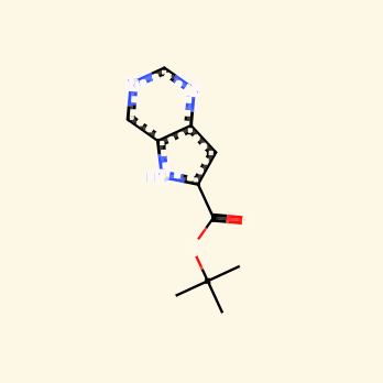 CC(C)(C)OC(=O)c1cc2ncncc2[nH]1